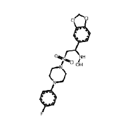 O=S(=O)(CC(NO)c1ccc2c(c1)OCO2)N1CCN(c2ccc(F)cc2)CC1